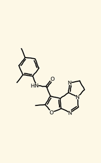 Cc1ccc(NC(=O)c2c(C)oc3c2C2=NCCN2C=N3)c(C)c1